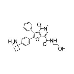 Cn1cc(C(=O)NCCO)c2oc(-c3ccc(C4(N)CCC4)cc3)c(-c3ccccc3)c2c1=O